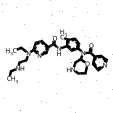 CCNCCN(CC)c1ccc(C(=O)Nc2cc(N(C(=O)c3ccncc3)C3CNCCO3)ccc2C)cn1